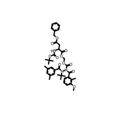 COc1cccc(C(=O)N(C(=O)OCOC(=O)C(CC(=O)OCc2ccccc2)NC(=O)OC(C)(C)C)N(C(=O)c2cc(C)cc(C)c2)C(C)(C)C)c1C